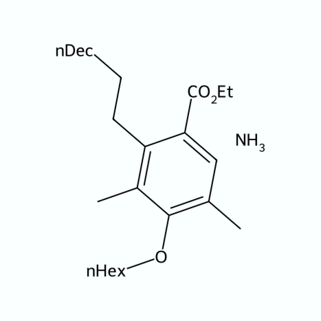 CCCCCCCCCCCCc1c(C(=O)OCC)cc(C)c(OCCCCCC)c1C.N